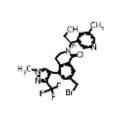 CC[C@@H](c1cncc(C)c1)N1CCc2c(cc(CBr)cc2-c2cn(C)nc2C(F)(F)F)C1=O